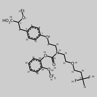 CCOC(Cc1ccc(OCCN(CCOCCC(C)(F)F)C(=O)Oc2ccccc2OC(F)(F)F)cc1)C(=O)O